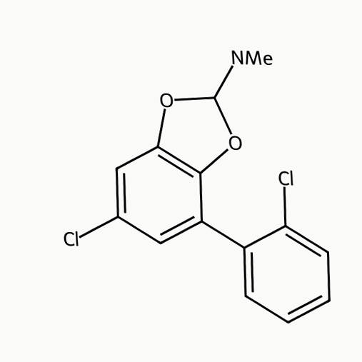 CNC1Oc2cc(Cl)cc(-c3ccccc3Cl)c2O1